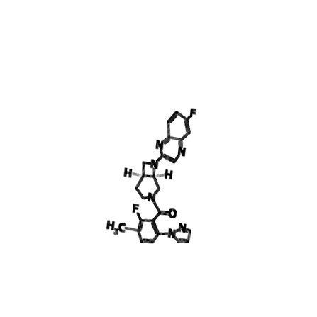 Cc1ccc(-n2cccn2)c(C(=O)N2CC[C@H]3CN(c4cnc5cc(F)ccc5n4)[C@H]3C2)c1F